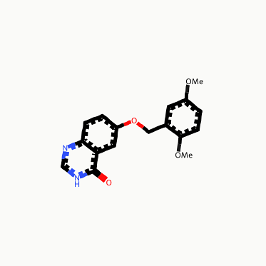 COc1ccc(OC)c(COc2ccc3nc[nH]c(=O)c3c2)c1